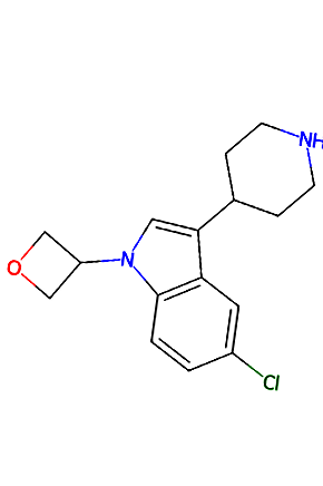 Clc1ccc2c(c1)c(C1CCNCC1)cn2C1COC1